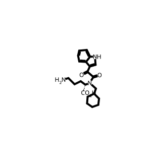 NCCC[C@@H](C(=O)O)N(CC1CCCCC1)C(=O)C(=O)c1c[nH]c2ccccc12